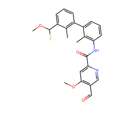 COc1cc(C(=O)Nc2cccc(-c3cccc(C(F)OC)c3C)c2C)ncc1C=O